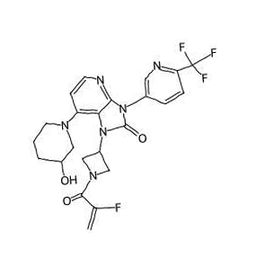 C=C(F)C(=O)N1CC(n2c(=O)n(-c3ccc(C(F)(F)F)nc3)c3nccc(N4CCCC(O)C4)c32)C1